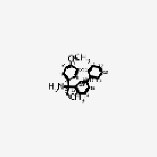 CCC(N)(c1ccc(OC)cc1)c1cccc(-c2ccccc2)c1